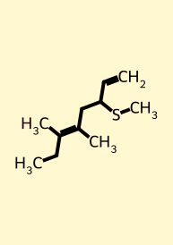 C=CC(C/C(C)=C(\C)CC)SC